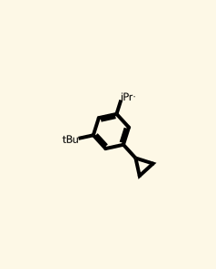 C[C](C)c1cc(C2CC2)cc(C(C)(C)C)c1